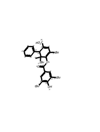 CC(C)(C)C1=C(OC(=O)c2cc(C(C)(C)C)c(O)c(C(C)(C)C)c2)C(C)(C(C)(C)C)C(c2ccccc2)C(C(=O)O)=C1